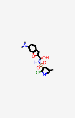 Cc1cnc(Cl)c(S(=O)(=O)NC(O)c2cc3ccc(N(C)C)cc3o2)c1